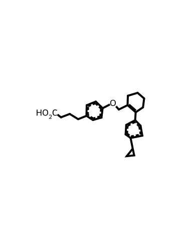 O=C(O)CCCc1ccc(OCC2=C(c3ccc(C4CC4)cc3)CCCC2)cc1